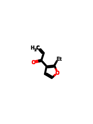 C=CC(=O)c1ccoc1CC